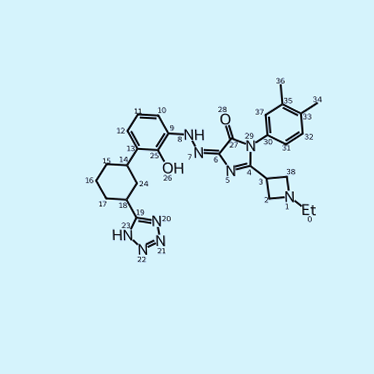 CCN1CC(C2=NC(=NNc3cccc(C4CCCC(c5nnn[nH]5)C4)c3O)C(=O)N2c2ccc(C)c(C)c2)C1